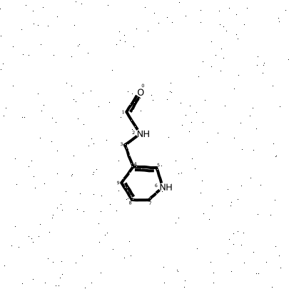 O=CNCC1=CNCC=C1